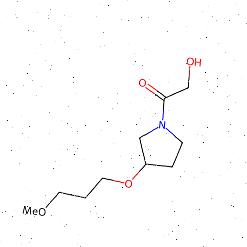 COCCCOC1CCN(C(=O)CO)C1